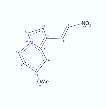 COc1ccn2ccc(/C=C/[N+](=O)[O-])c2c1